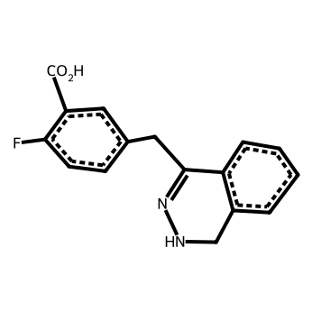 O=C(O)c1cc(CC2=NNCc3ccccc32)ccc1F